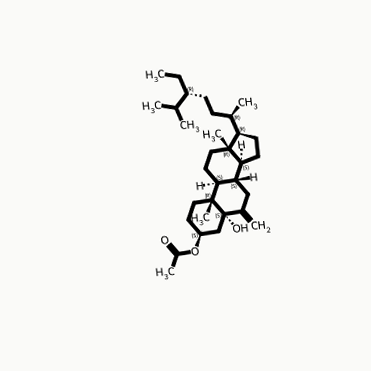 C=C1C[C@H]2[C@@H]3CC[C@H]([C@H](C)CC[C@@H](CC)C(C)C)[C@@]3(C)CC[C@@H]2[C@@]2(C)CC[C@H](OC(C)=O)C[C@]12O